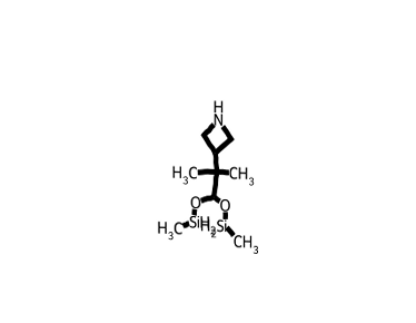 C[SiH2]OC(O[SiH2]C)C(C)(C)C1CNC1